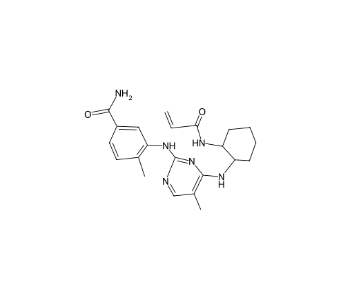 C=CC(=O)NC1CCCCC1Nc1nc(Nc2cc(C(N)=O)ccc2C)ncc1C